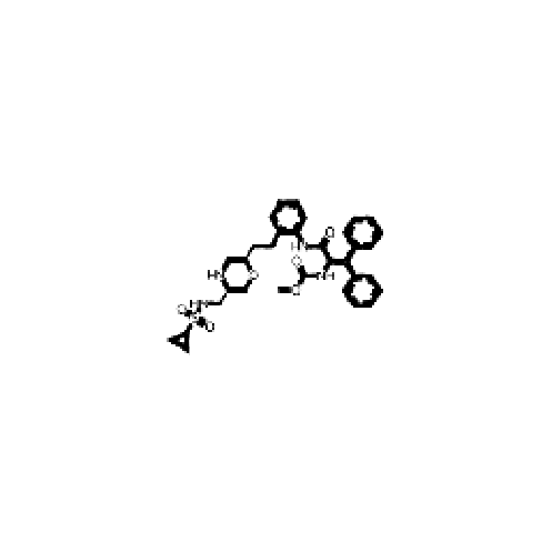 COC(=O)NC(C(=O)Nc1ccccc1CC[C@@H]1CN[C@H](CNS(=O)(=O)C2CC2)CO1)C(c1ccccc1)c1ccccc1